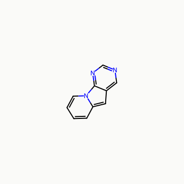 c1ccn2c(c1)cc1cncnc12